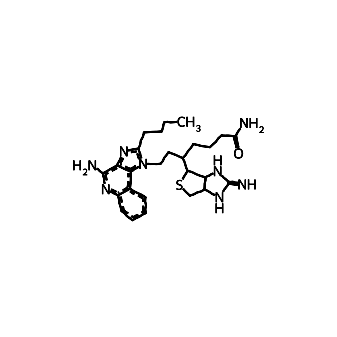 CCCCc1nc2c(N)nc3ccccc3c2n1CCC(CCCC(N)=O)C1SCC2NC(=N)NC21